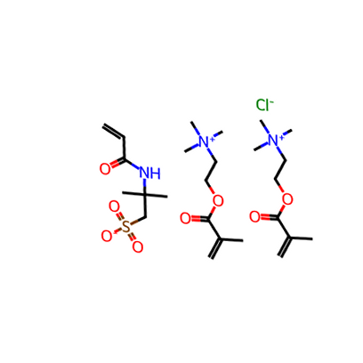 C=C(C)C(=O)OCC[N+](C)(C)C.C=C(C)C(=O)OCC[N+](C)(C)C.C=CC(=O)NC(C)(C)CS(=O)(=O)[O-].[Cl-]